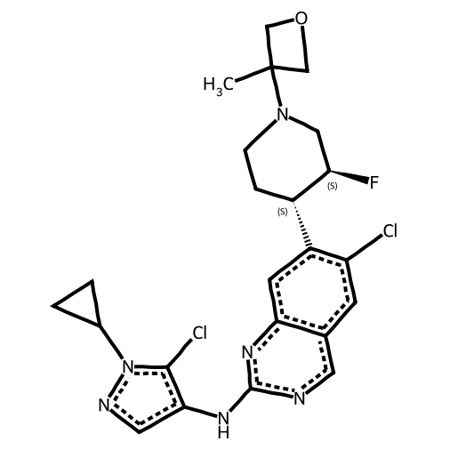 CC1(N2CC[C@@H](c3cc4nc(Nc5cnn(C6CC6)c5Cl)ncc4cc3Cl)[C@H](F)C2)COC1